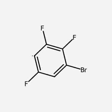 Fc1[c]c(F)c(F)c(Br)c1